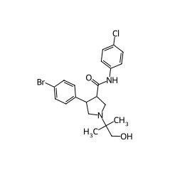 CC(C)(CO)N1CC(C(=O)Nc2ccc(Cl)cc2)C(c2ccc(Br)cc2)C1